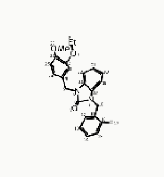 CCOc1cc(Cn2c(=O)n(Cc3ccccc3F)c3ccccc32)ccc1OC